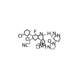 Cc1nc2c(F)c(-c3cccc(Cl)c3Cl)c(CCC#N)cc2c2c1cc(C(C)N1CCCN(c3ccnc(N)c3)C1=O)n2C1C2CNC1C2